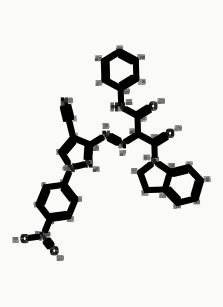 N#Cc1cn(-c2ccc([N+](=O)[O-])cc2)nc1N=NC(C(=O)Nc1ccccc1)C(=O)N1CCc2ccccc21